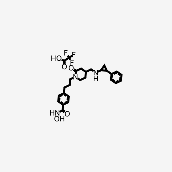 O=C(NO)c1ccc(CCCN2CCC(CNC3CC3c3ccccc3)CC2=O)cc1.O=C(O)C(F)(F)F